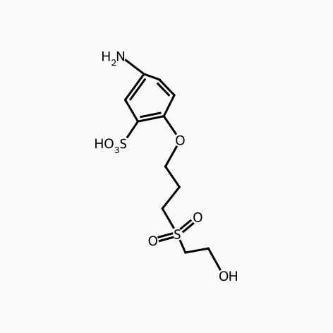 Nc1ccc(OCCCS(=O)(=O)CCO)c(S(=O)(=O)O)c1